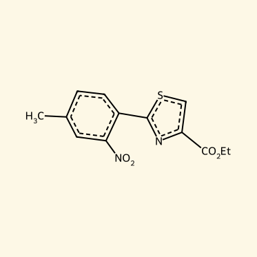 CCOC(=O)c1csc(-c2ccc(C)cc2[N+](=O)[O-])n1